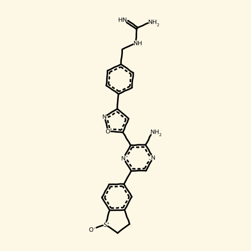 N=C(N)NCc1ccc(-c2cc(-c3nc(-c4ccc5c(c4)CC[S+]5[O-])cnc3N)on2)cc1